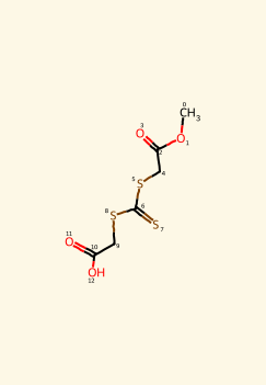 COC(=O)CSC(=S)SCC(=O)O